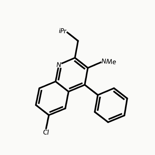 CNc1c(CC(C)C)nc2ccc(Cl)cc2c1-c1ccccc1